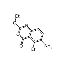 CCOc1nc2ccc(N)c(CC)c2c(=O)o1